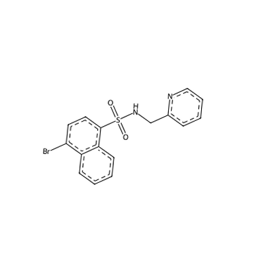 O=S(=O)(NCc1ccccn1)c1ccc(Br)c2ccccc12